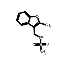 Cc1oc2ccccc2c1CNS(N)(=O)=O